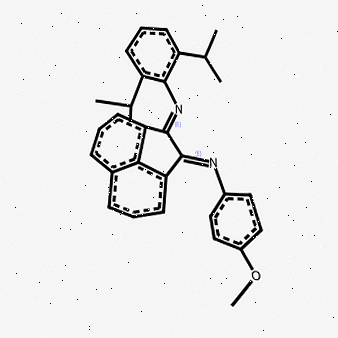 COc1ccc(/N=C2/C(=N/c3c(C(C)C)cccc3C(C)C)c3cccc4cccc2c34)cc1